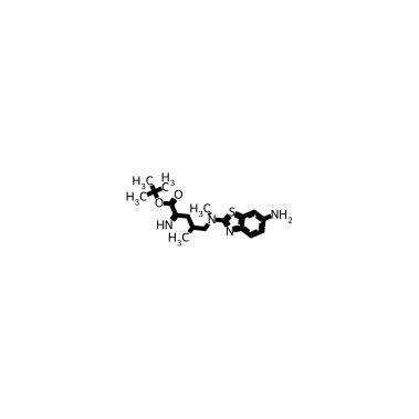 CC(CC(=N)C(=O)OC(C)(C)C)CN(C)c1nc2ccc(N)cc2s1